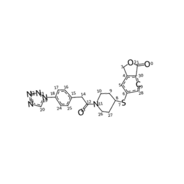 O=C1OCc2cc(SC3CCN(C(=O)Cc4ccc(-n5cnnn5)cc4)CC3)ccc21